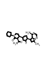 Cc1cc(-c2ccc(-c3ccn(-c4ccccc4)c(=O)c3C(N)=O)cc2F)c2c(N)ncnn12